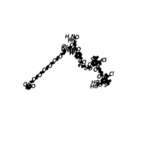 Cc1csc2c(OC(=O)N(C)CCN(C)C(=O)OCc3ccc(NC(=O)[C@H](CCCNC(N)=O)NC(=O)[C@@H](NC(=O)CCOCCOCCOCCOCCOCCOCCN4C(=O)C=CC4=O)C(C)C)cc3)cc3c(c12)[C@H](CCl)CN3C(=O)CCCC(=O)N1C[C@@H](CCl)c2c1cc(OP(O)O)c1scc(C)c21